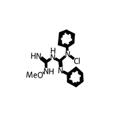 CONC(=N)NC(=Nc1ccccc1)N(Cl)c1ccccc1